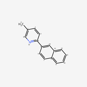 Cc1ccc(-c2ccc3ccccc3c2)nc1